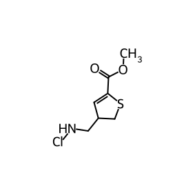 COC(=O)C1=CC(CNCl)CS1